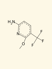 COc1nc(N)ccc1C(F)(F)F